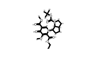 CCOC(=O)c1c(OC)c(=O)c(C(=O)OC)cn1C1CCC2CCN(C(=O)OC(C)(C)C)C21